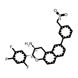 N[C@H]1Cc2c(ccc3ccc(-c4cccc(C[SH](=O)=O)c4)cc23)O[C@@H]1c1cc(F)c(F)cc1F